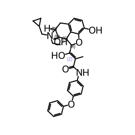 C/C(C(=O)Nc1ccc(Oc2ccccc2)cc1)=C(/O)[C@@H]1Oc2c(O)ccc3c2[C@@]12CCN(CC1CC1)[C@H](C3)[C@@]2(C)O